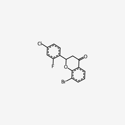 O=C1CC(c2ccc(Cl)cc2F)Oc2c(Br)cccc21